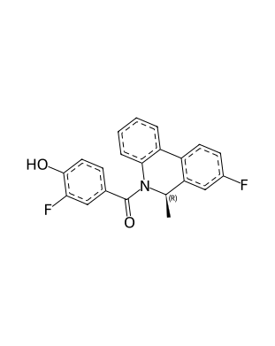 C[C@@H]1c2cc(F)ccc2-c2ccccc2N1C(=O)c1ccc(O)c(F)c1